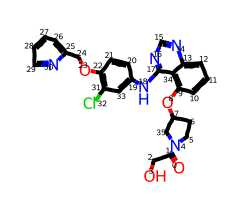 O=C(CO)N1CCC(Oc2cccc3ncnc(Nc4ccc(OCc5ccccn5)c(Cl)c4)c23)C1